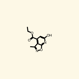 CCOC(=O)c1cc(O)nc2onc(C)c12